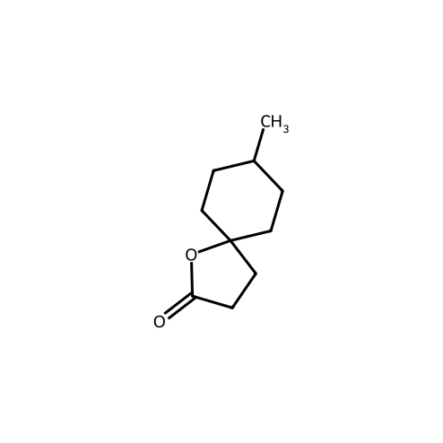 CC1CCC2(CCC(=O)O2)CC1